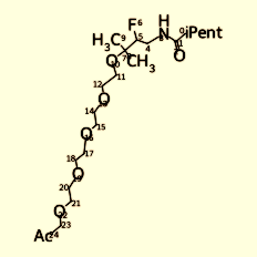 CCCC(C)C(=O)NCC(F)C(C)(C)OCCOCCOCCOCCOCC(C)=O